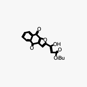 CC(C)COC(=O)/C=C(\O)c1cc2c(o1)C(=O)c1ccccc1C2=O